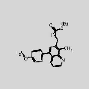 Cc1c(CNC(=O)OC(C)(C)C)cc(-c2ccc(OC(F)(F)F)cc2)c2cccnc12